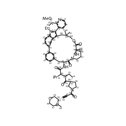 CCn1c(-c2cccnc2[C@H](C)OC)c2c3cc(ccc31)-c1cccc(c1)C[C@H](NC(=O)C(C(C)C)N1CC[C@@]3(CCN(C(=O)C#C[C@H]4COCCN4C)C3)C1=O)C(=O)N1CCC[C@H](N1)C(=O)OCC(C)(C)C2